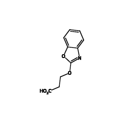 O=C(O)CCOc1nc2ccccc2o1